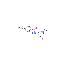 Cc1ccc(C(=O)N[C@@H](CCI)CN2CCCC2)cc1